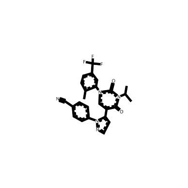 Cc1ccc(C(F)(F)F)cc1-n1cc(-c2ccnn2-c2ccc(C#N)cc2)c(=O)n(C(C)C)c1=O